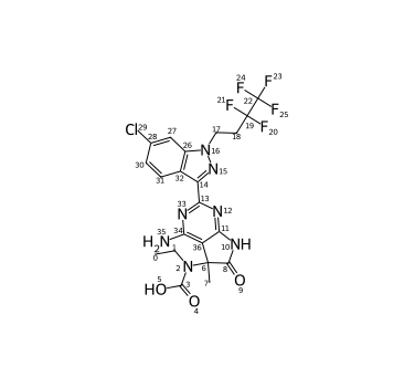 CCN(C(=O)O)C1(C)C(=O)Nc2nc(-c3nn(CCC(F)(F)C(F)(F)F)c4cc(Cl)ccc34)nc(N)c21